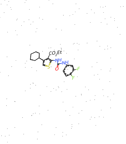 CCOC(=O)c1c(C2CCCCC2)csc1NC(=O)Nc1ccc(F)c(F)c1